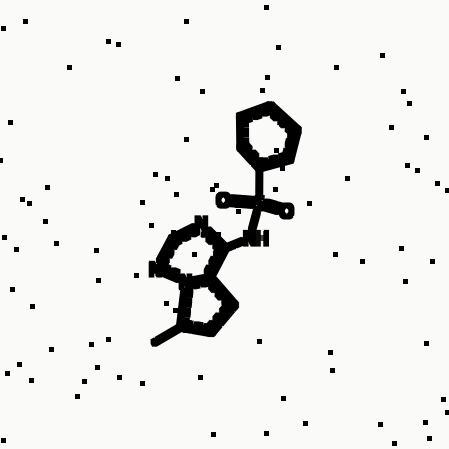 Cc1ccc2c(NS(=O)(=O)c3ccccc3)ncnn12